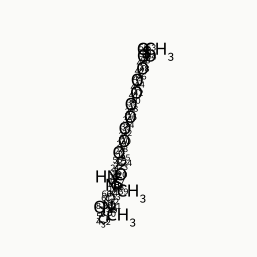 Cc1ccccc1C(=O)n1ccc2cc(-c3nc(NC(=O)Cc4cccc(OCCOCCOCCOCCOCCOCCOCCOCCOS(C)(=O)=O)c4)sc3C)ccc21